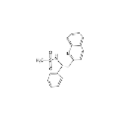 CS(=O)(=O)N[C@H](Cc1ccc2ccccc2n1)c1ccccc1